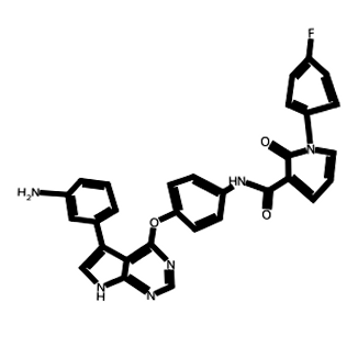 Nc1cccc(-c2c[nH]c3ncnc(Oc4ccc(NC(=O)c5cccn(-c6ccc(F)cc6)c5=O)cc4)c23)c1